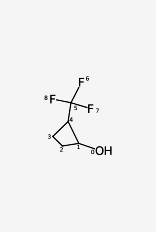 OC1CCC1C(F)(F)F